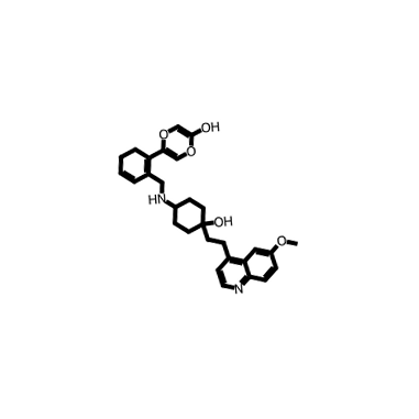 COc1ccc2nccc(CCC3(O)CCC(NCC4=C(C5=COC(O)=CO5)CCC=C4)CC3)c2c1